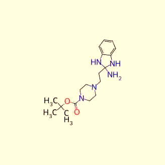 CC(C)(C)OC(=O)N1CCN(CCC2(N)Nc3ccccc3N2)CC1